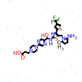 C[C@@H]1CC[C@@H](N)N1Cc1sc(NC(O)c2cnc(N3CCN(CCC(=O)O)CC3)cn2)nc1-c1cc(C(F)(F)F)cs1